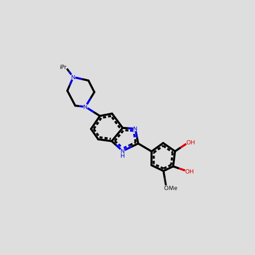 COc1cc(-c2nc3cc(N4CCN(C(C)C)CC4)ccc3[nH]2)cc(O)c1O